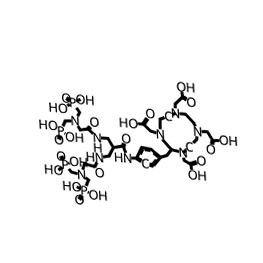 O=C(O)CN1CCN(CC(=O)O)CCN(CC(=O)O)C(Cc2ccc(NC(=O)C(CNC(=O)CN(CP(=O)(O)O)CP(=O)(O)O)CNC(=O)CN(CP(=O)(O)O)CP(=O)(O)O)cc2)CN(CC(=O)O)CC1